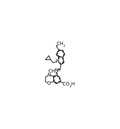 C=Cc1ccc2cc(/C=N/c3cc(C(=O)O)cc4c3N(C)CCO4)n(CC3CC3)c2c1